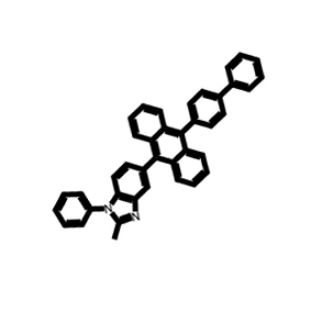 Cc1nc2cc(-c3c4ccccc4c(-c4ccc(-c5ccccc5)cc4)c4ccccc34)ccc2n1-c1ccccc1